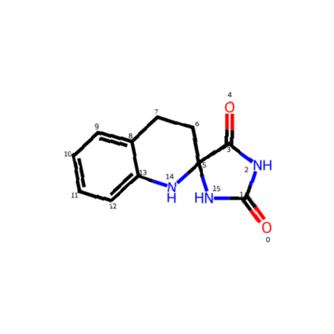 O=C1NC(=O)C2(CCc3ccccc3N2)N1